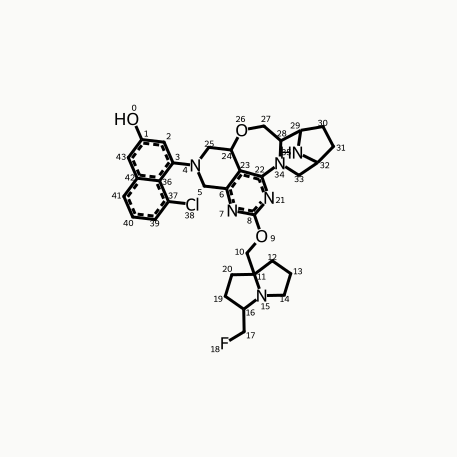 Oc1cc(N2Cc3nc(OCC45CCCN4C(CF)CC5)nc4c3C(C2)OCC2C3CCC(CN42)N3)c2c(Cl)cccc2c1